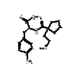 COCCC1(C(=S)N[C@@H](Cc2ccc(N)cc2)C(=O)OC)CCCC1